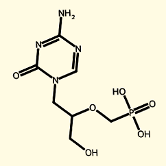 Nc1ncn(CC(CO)OCP(=O)(O)O)c(=O)n1